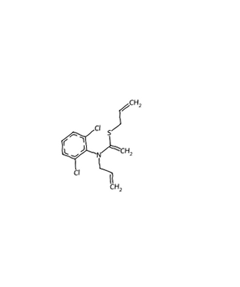 C=CCSC(=C)N(CC=C)c1c(Cl)cccc1Cl